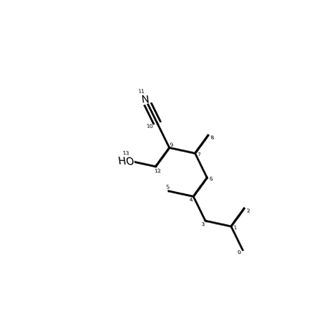 CC(C)CC(C)CC(C)C(C#N)CO